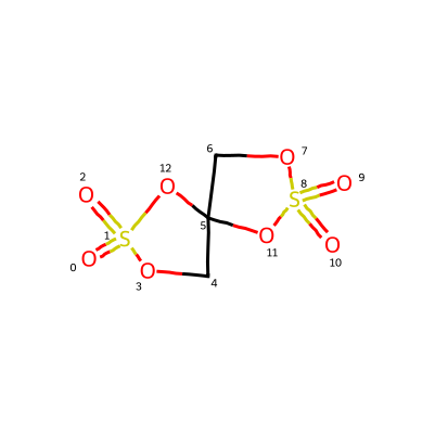 O=S1(=O)OCC2(COS(=O)(=O)O2)O1